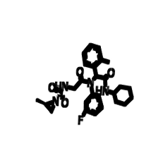 Cc1ccccc1C(C(=O)NC1CCCCC1)N(C(=O)CNS(=O)(=O)N1C[C@H]1C)c1cccc(F)c1